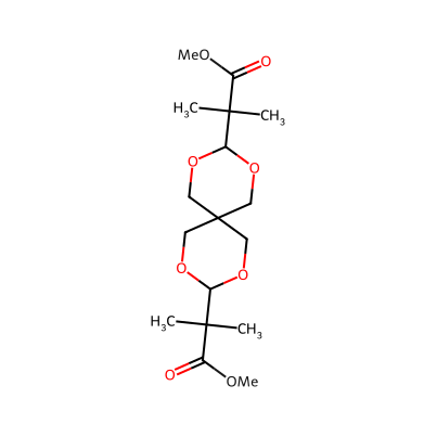 COC(=O)C(C)(C)C1OCC2(CO1)COC(C(C)(C)C(=O)OC)OC2